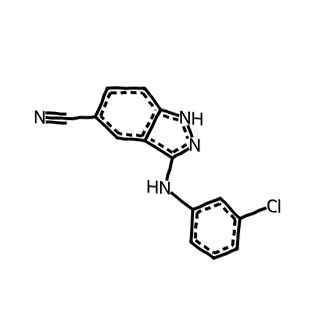 N#Cc1ccc2[nH]nc(Nc3cccc(Cl)c3)c2c1